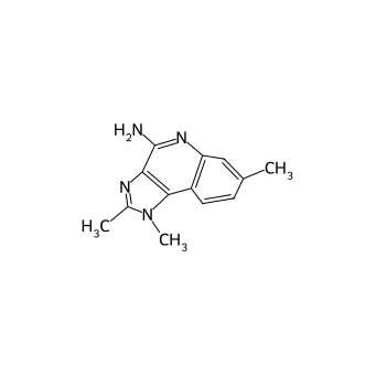 Cc1ccc2c(c1)nc(N)c1nc(C)n(C)c12